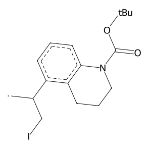 [CH2]C(CI)c1cccc2c1CCCN2C(=O)OC(C)(C)C